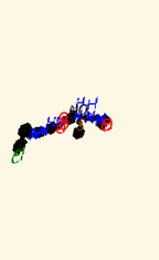 O=C(NS(=O)(=O)c1ccc(N[C@H](CCNCCN2CCOCC2)CSc2ccccc2)c([N+](=O)[O-])c1)c1ccc(N2CCN(Cc3ccccc3-c3ccc(Cl)cc3)CC2)cc1